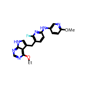 CCOc1ncnc2[nH]cc(Cc3ccc(Nc4ccc(OC)nc4)nc3F)c12